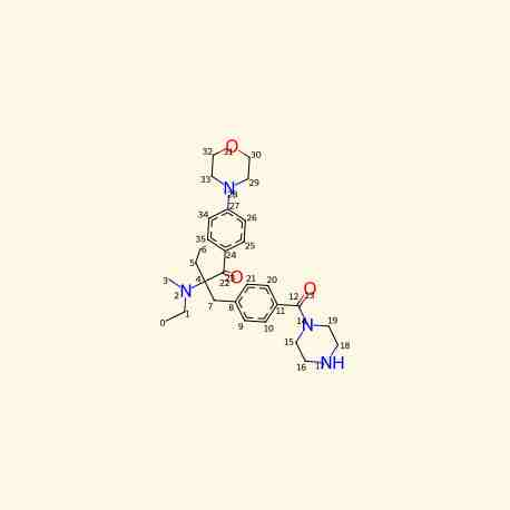 CCN(C)C(CC)(Cc1ccc(C(=O)N2CCNCC2)cc1)C(=O)c1ccc(N2CCOCC2)cc1